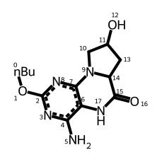 CCCCOc1nc(N)c2c(n1)N1CC(O)CC1C(=O)N2